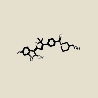 CC1(C)O/C(=C2\c3ccc(F)cc3NC2O)C=C1c1ccc(C(=O)N2CCCC(CO)C2)cc1